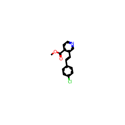 COC(=O)c1ccncc1C=Cc1ccc(Cl)cc1